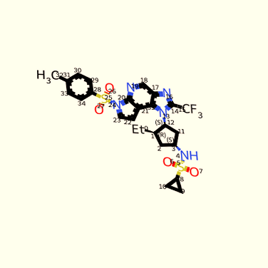 CC[C@@H]1C[C@H](NS(=O)(=O)C2CC2)C[C@@H]1n1c(C(F)(F)F)nc2cnc3c(ccn3S(=O)(=O)c3ccc(C)cc3)c21